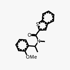 COc1ccccc1C(C)N(C)C(=O)c1cc2ccccc2s1